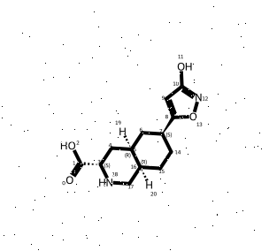 O=C(O)[C@@H]1C[C@H]2C[C@@H](c3cc(O)no3)CC[C@H]2CN1